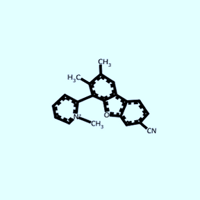 Cc1cc2c(oc3cc(C#N)ccc32)c(-c2cccc[n+]2C)c1C